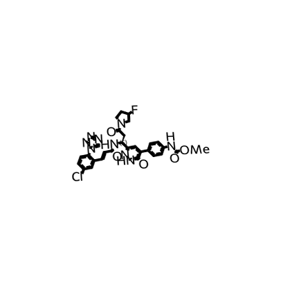 COC(=O)Nc1ccc(-c2cc([C@H](CC(=O)N3CCC(F)C3)NC(=O)C=Cc3cc(Cl)ccc3-n3cnnn3)n[nH]c2=O)cc1